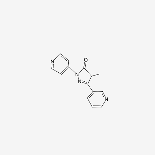 CC1C(=O)N(c2ccncc2)N=C1c1cccnc1